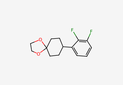 Fc1cccc(C2CCC3(CC2)OCCO3)c1F